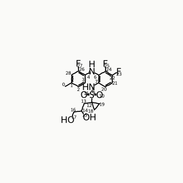 Cc1ccc(Nc2c(NS(=O)(=O)C3(CC(O)CO)CC3)ccc(F)c2F)c(F)c1